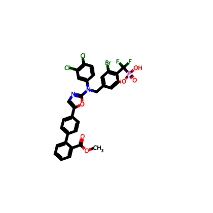 COC(=O)c1ccccc1-c1ccc(-c2cnc(N(Cc3ccc(C(F)(F)P(=O)(O)O)c(Br)c3)c3ccc(Cl)c(Cl)c3)o2)cc1